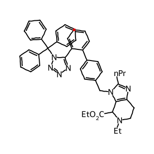 CCCc1nc2c(n1Cc1ccc(-c3ccccc3-c3nnnn3C(c3ccccc3)(c3ccccc3)c3ccccc3)cc1)C(C(=O)OCC)N(CC)CC2